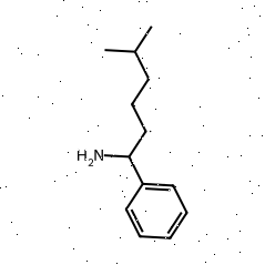 CC(C)CC[CH]C(N)c1ccccc1